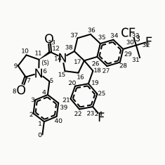 Cc1ccc(CN2C(=O)CC[C@H]2C(=O)N2CCC3(Cc4cccc(F)c4)c4ccc(C(C)(F)C(F)(F)F)cc4CCC23)cc1